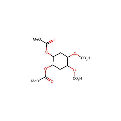 COC(=O)OC1CC(OC(=O)O)C(OC(=O)O)CC1OC(=O)OC